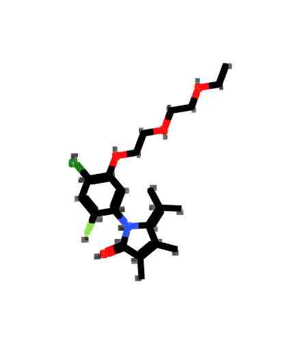 CCOCCOCCOc1cc(N2C(=O)C(C)=C(C)C2=C(C)C)c(F)cc1Cl